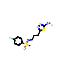 CS(=O)(=NCCCc1nnc(N)s1)c1ccc(F)cc1